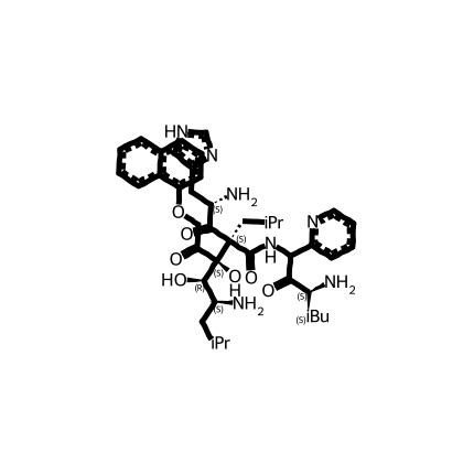 CC[C@H](C)[C@H](N)C(=O)C(NC(=O)[C@](CC(C)C)(C(=O)[C@@H](N)Cc1c[nH]cn1)[C@@](O)(C(=O)COc1cccc2ccccc12)[C@H](O)[C@@H](N)CC(C)C)c1ccccn1